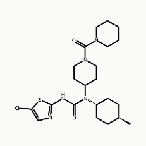 C[C@H]1CC[C@H](N(C(=O)Nc2ncc(Cl)s2)C2CCN(C(=O)N3CCCCC3)CC2)CC1